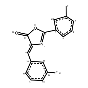 Cc1cccc(C2=N/C(=C\c3cccc(F)c3)C(=O)O2)c1